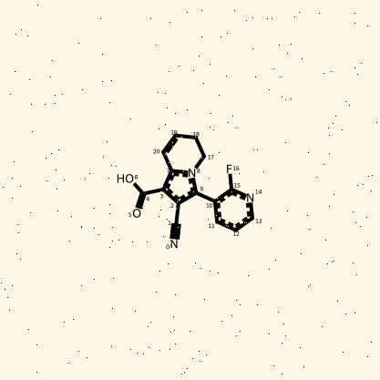 N#Cc1c(C(=O)O)c2n(c1-c1cccnc1F)CCC=C2